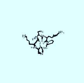 CC(C)CC(NC(=O)C(CCCCN)Nc1cnccn1)C(=O)NC(CCCCN)C(=O)N1CCCC1C=O